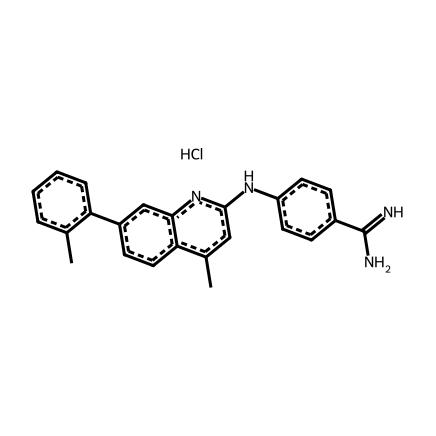 Cc1ccccc1-c1ccc2c(C)cc(Nc3ccc(C(=N)N)cc3)nc2c1.Cl